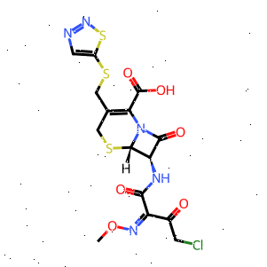 CO/N=C(/C(=O)CCl)C(=O)N[C@@H]1C(=O)N2C(C(=O)O)=C(CSc3cnns3)CS[C@@H]12